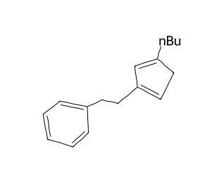 CCCCC1=CC(CCc2ccccc2)=CC1